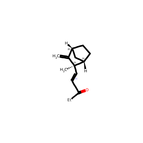 C=C1[C@@H]2CC[C@@H](C2)[C@@]1(C)/C=C/C(=O)CC